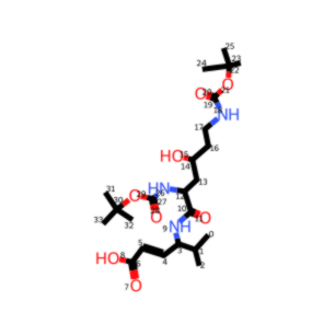 CC(C)C(/C=C/C(=O)O)NC(=O)C(CC(O)CCNC(=O)OC(C)(C)C)NC(=O)OC(C)(C)C